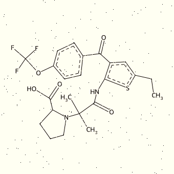 CCc1cc(C(=O)c2ccc(OC(F)(F)F)cc2)c(NC(=O)C(C)(C)N2CCCC2C(=O)O)s1